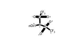 CCCCCCCCN(S(=O)(=O)C(F)(F)F)S(=O)(=O)C(F)(F)F